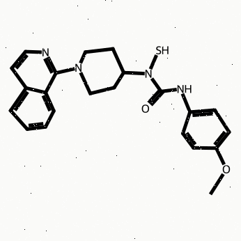 COc1ccc(NC(=O)N(S)C2CCN(c3nccc4ccccc34)CC2)cc1